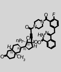 CCC[C@@]1(C)[C@H]([C@@H]2CC[C@H]3CC(=O)CC[C@]3(C)C2)CC[C@@]1(O)C#CC(=O)N1CCN(C(=O)c2cc(Cc3n[nH]c(=O)c4ccccc34)ccc2F)CC1